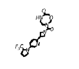 O=C1COCN(C(=O)N2CC(c3ccc(N4CCCC4C(F)(F)F)cn3)C2)CCN1